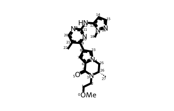 COCCN1C(=O)c2cc(-c3nc(Nc4ccnn4C)ncc3C)cn2C[C@@H]1C